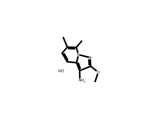 COc1nn2c(C)c(C)ccc2c1N.Cl